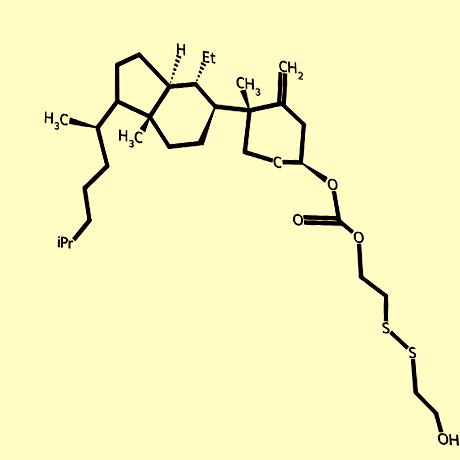 C=C1C[C@@H](OC(=O)OCCSSCCO)CC[C@]1(C)[C@H]1CC[C@]2(C)C([C@H](C)CCCC(C)C)CC[C@H]2[C@@H]1CC